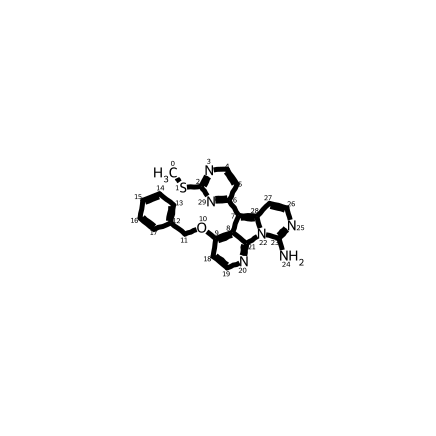 CSc1nccc(-c2c3c(OCc4ccccc4)ccnc3n3c(N)nccc23)n1